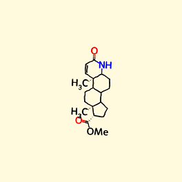 COC(=O)[C@H]1CCC2C3CCC4NC(=O)C=C[C@]4(C)C3CC[C@@]21C